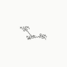 [CH2]CCC(CCCCCCOC(=O)C(=C)C)C(C)(CCCCCCOC(=O)C(=C)C)[C](C)C